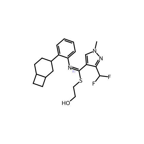 Cn1cc(/C(=N\c2ccccc2C2CCC3CCC3C2)SCCO)c(C(F)F)n1